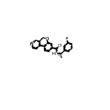 C[C@@H](NC(=O)c1ccc2c(c1)OCc1cnccc1-2)c1cccc(F)c1